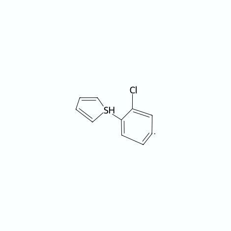 Clc1c[c]ccc1[SH]1C=CC=C1